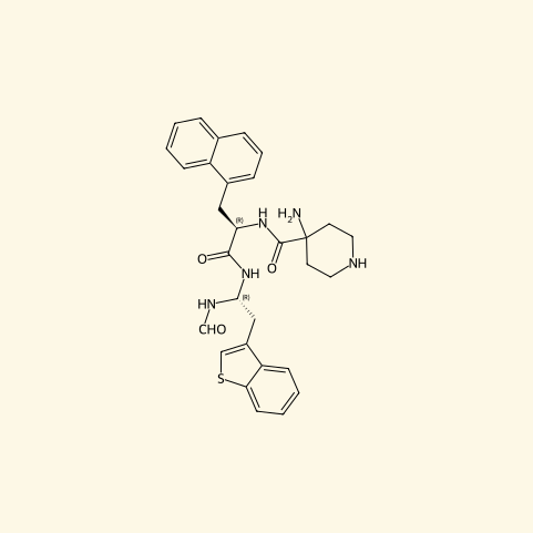 NC1(C(=O)N[C@H](Cc2cccc3ccccc23)C(=O)N[C@H](Cc2csc3ccccc23)NC=O)CCNCC1